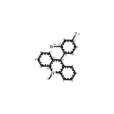 C[n+]1c2ccccc2c(-c2ccc(F)cc2Br)c2ccccc21